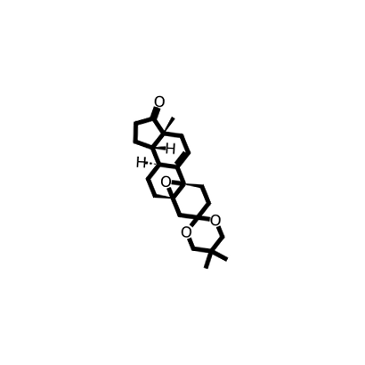 CC1(C)COC2(CC[C@]34O[C@@]3(CC[C@@H]3C4=CC[C@@]4(C)C(=O)CC[C@@H]34)C2)OC1